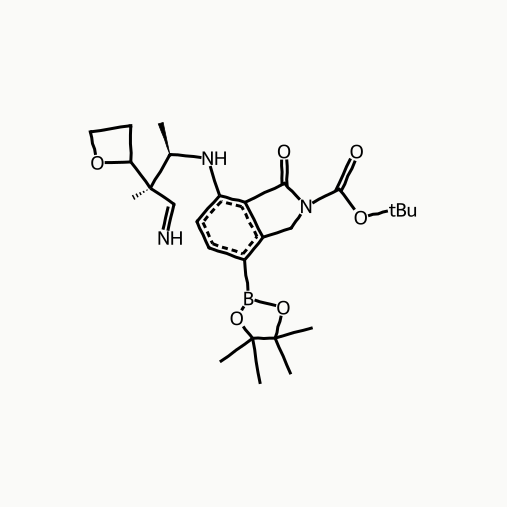 C[C@@H](Nc1ccc(B2OC(C)(C)C(C)(C)O2)c2c1C(=O)N(C(=O)OC(C)(C)C)C2)[C@@](C)(C=N)C1CCO1